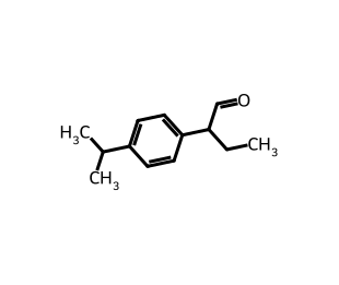 CCC(C=O)c1ccc(C(C)C)cc1